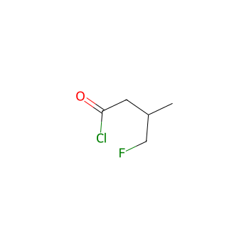 CC(CF)CC(=O)Cl